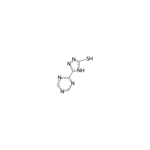 Sc1nnc(-c2ncncn2)[nH]1